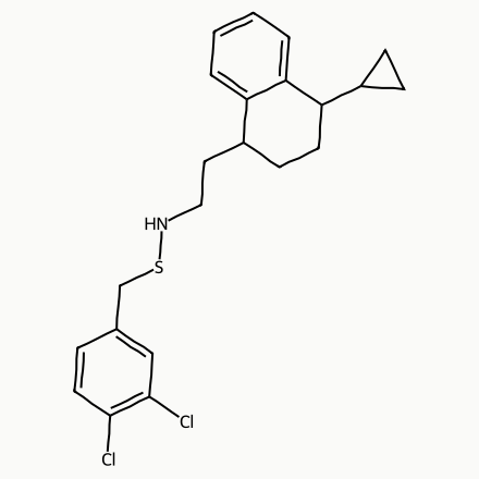 Clc1ccc(CSNCCC2CCC(C3CC3)c3ccccc32)cc1Cl